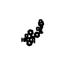 CN(C(=O)CN1CCOCC1)c1ccc(NC(=C2C(=O)Nc3ccccc32)c2ccccc2)cc1